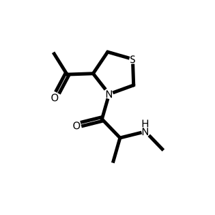 CNC(C)C(=O)N1CSCC1C(C)=O